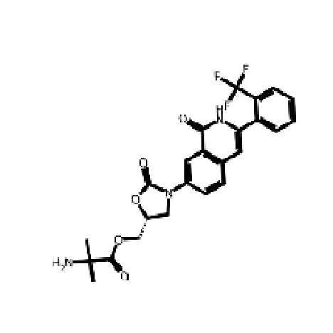 CC(C)(N)C(=O)OC[C@H]1CN(c2ccc3cc(-c4ccccc4C(F)(F)F)[nH]c(=O)c3c2)C(=O)O1